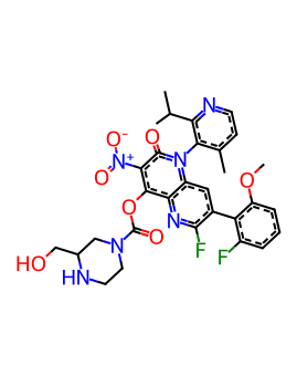 COc1cccc(F)c1-c1cc2c(nc1F)c(OC(=O)N1CCNC(CO)C1)c([N+](=O)[O-])c(=O)n2-c1c(C)ccnc1C(C)C